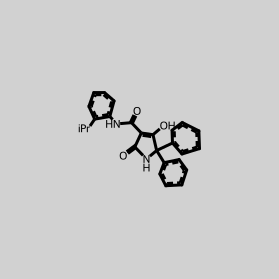 CC(C)c1ccccc1NC(=O)C1=C(O)C(c2ccccc2)(c2ccccc2)NC1=O